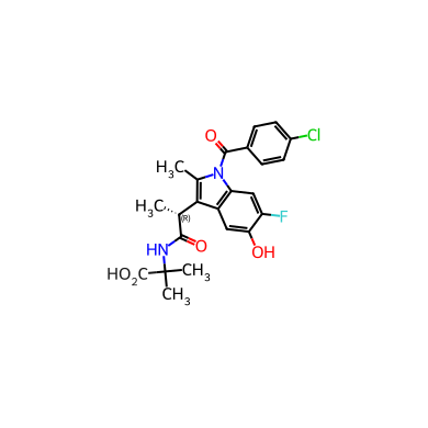 Cc1c([C@@H](C)C(=O)NC(C)(C)C(=O)O)c2cc(O)c(F)cc2n1C(=O)c1ccc(Cl)cc1